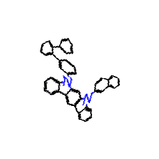 c1ccc(-c2ccccc2-c2cccc(-n3c4ccccc4c4cc5c6ccccc6n(-c6ccc7ccccc7c6)c5cc43)c2)cc1